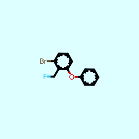 FCc1c(Br)cccc1Oc1ccccc1